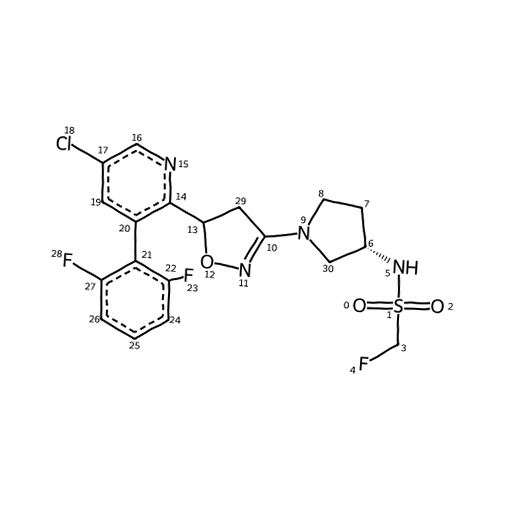 O=S(=O)(CF)N[C@H]1CCN(C2=NOC(c3ncc(Cl)cc3-c3c(F)cccc3F)C2)C1